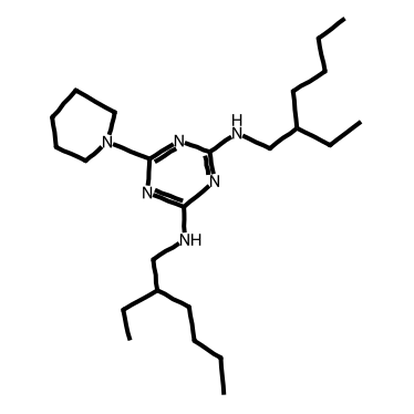 CCCCC(CC)CNc1nc(NCC(CC)CCCC)nc(N2CCCCC2)n1